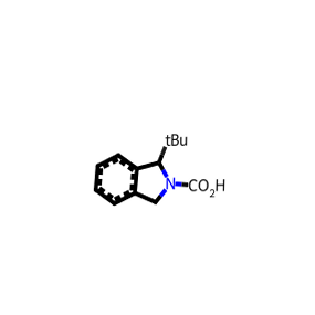 CC(C)(C)C1c2ccccc2CN1C(=O)O